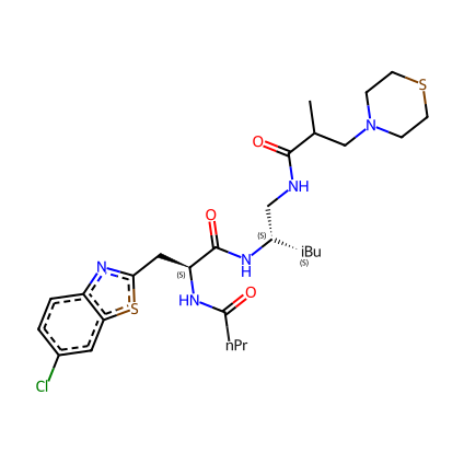 CCCC(=O)N[C@@H](Cc1nc2ccc(Cl)cc2s1)C(=O)N[C@H](CNC(=O)C(C)CN1CCSCC1)[C@@H](C)CC